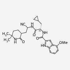 COc1cccc2[nH]c(C(=O)N[C@@H](CC3CC3)C(=O)NC(C#N)CC3CCC(C)(C)NC3=O)cc12